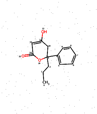 CCCC1(c2ccccc2)CC(O)=CC(=O)O1